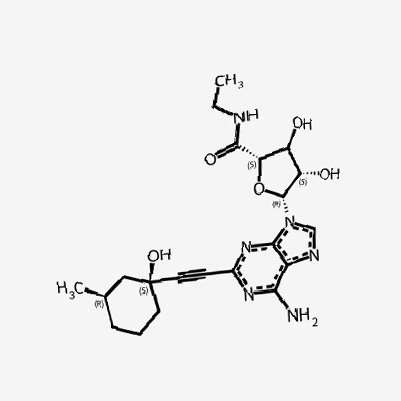 CCNC(=O)[C@H]1O[C@@H](n2cnc3c(N)nc(C#C[C@]4(O)CCC[C@@H](C)C4)nc32)[C@@H](O)C1O